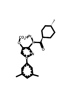 Cc1cc(C)cc(-n2cc(OC(=O)O)c(N(C(=O)[C@H]3CC[C@H](C)CC3)C(C)C)n2)c1